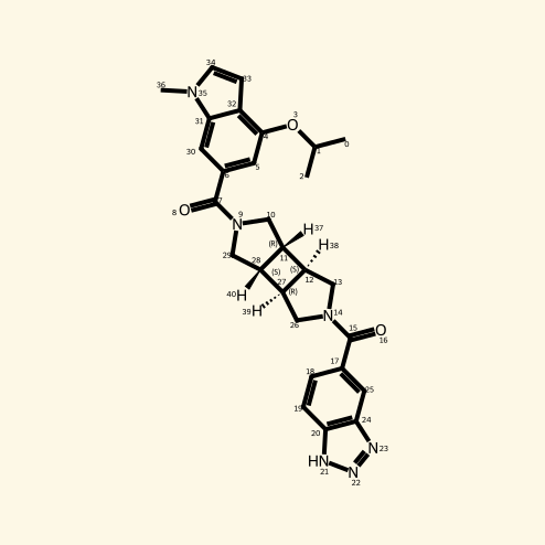 CC(C)Oc1cc(C(=O)N2C[C@@H]3[C@H]4CN(C(=O)c5ccc6[nH]nnc6c5)C[C@H]4[C@@H]3C2)cc2c1ccn2C